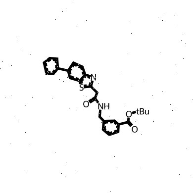 CC(C)(C)OC(=O)c1cccc(CNC(=O)Cc2nc3ccc(-c4ccccc4)cc3s2)c1